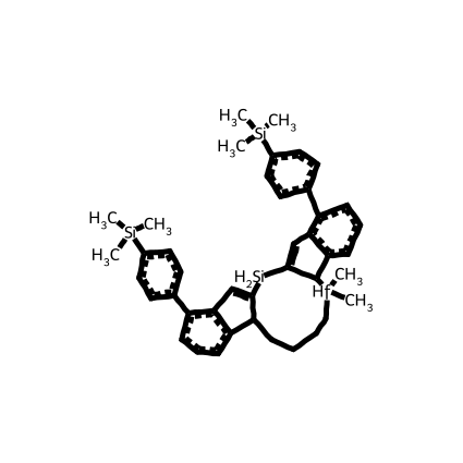 C[Si](C)(C)c1ccc(-c2cccc3c2C=C2[SiH2]C4=Cc5c(-c6ccc([Si](C)(C)C)cc6)cccc5[CH]4[Hf]([CH3])([CH3])[CH2]CCCC23)cc1